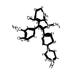 Cc1cc(-c2c(-c3ccc(N4CCNCC4)cc3)n(C)c3nccc(Cl)c23)ccc1Cl